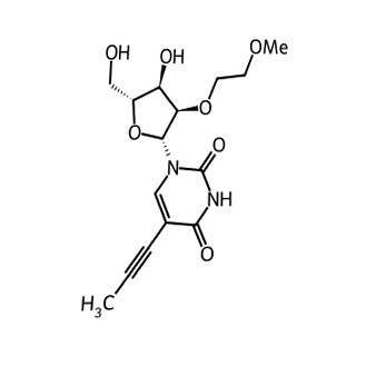 CC#Cc1cn([C@@H]2O[C@H](CO)[C@@H](O)[C@H]2OCCOC)c(=O)[nH]c1=O